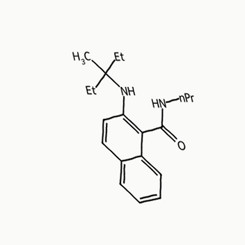 CCCNC(=O)c1c(NC(C)(CC)CC)ccc2ccccc12